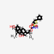 CC[C@H]1[C@@H](O)[C@@H]2[C@H](CC[C@]3(C)[C@@H]([C@H](C)COC(=O)NS(=O)(=O)c4ccc(-c5ccccc5)s4)CC[C@@H]23)[C@@]2(C)CC[C@@H](O)C[C@@H]12